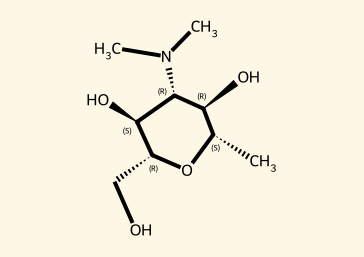 C[C@@H]1O[C@H](CO)[C@@H](O)[C@H](N(C)C)[C@H]1O